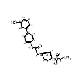 CCS(=O)(=O)c1ccc(CC(=O)Nc2ccc(-c3cccc(O)c3)cc2)cc1